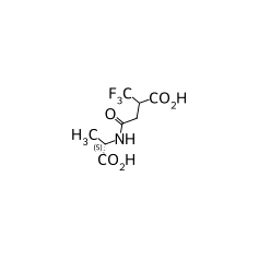 C[C@H](NC(=O)CC(C(=O)O)C(F)(F)F)C(=O)O